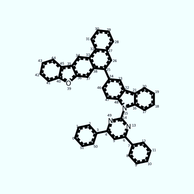 c1ccc(-c2cc(-c3ccccc3)nc(-n3c4ccccc4c4cc(-c5cc6ccccc6c6cc7c(cc56)oc5ccccc57)ccc43)n2)cc1